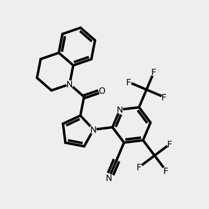 N#Cc1c(C(F)(F)F)cc(C(F)(F)F)nc1-n1cccc1C(=O)N1CCCc2ccccc21